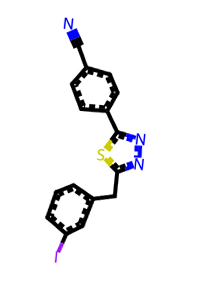 N#Cc1ccc(-c2nnc(Cc3cccc(I)c3)s2)cc1